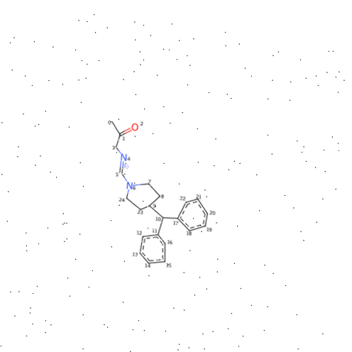 CC(=O)C/N=C/N1CCC(C(c2ccccc2)c2ccccc2)CC1